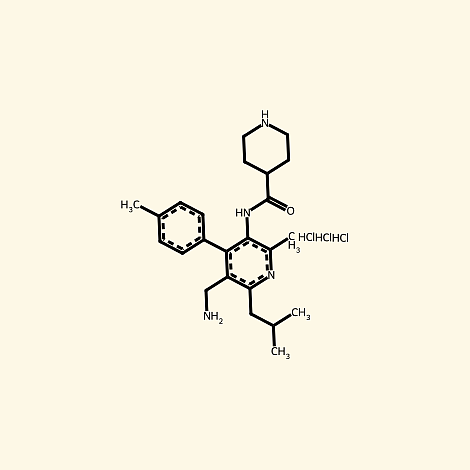 Cc1ccc(-c2c(CN)c(CC(C)C)nc(C)c2NC(=O)C2CCNCC2)cc1.Cl.Cl.Cl